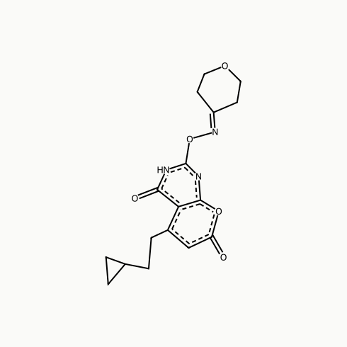 O=c1cc(CCC2CC2)c2c(=O)[nH]c(ON=C3CCOCC3)nc2o1